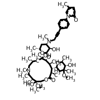 CC[C@H]1OC(=O)[C@H](C)[C@@H](C2C[C@@](C)(OC)[C@@H](O)[C@H](C)O2)[C@H](C)[C@@H](O[C@@H]2O[C@H](C)C[C@H](N(C)CC#Cc3ccc(-n4cc(C)ccc4=O)cc3)[C@H]2O)[C@](C)(O)C[C@@H](C)CN(C)[C@H](C)[C@@H](O)[C@]1(C)O